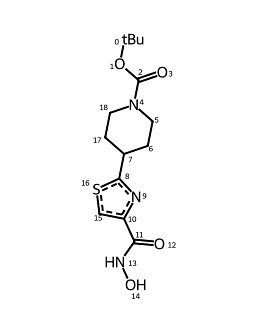 CC(C)(C)OC(=O)N1CCC(c2nc(C(=O)NO)cs2)CC1